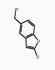 CC(=O)Cc1ccc2oc(Cl)cc2c1